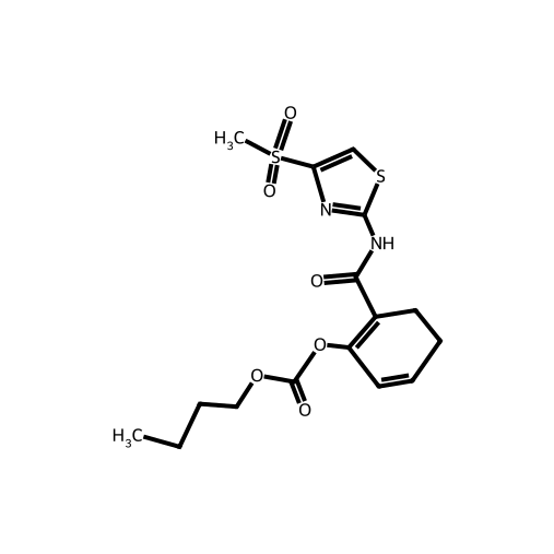 CCCCOC(=O)OC1=C(C(=O)Nc2nc(S(C)(=O)=O)cs2)CCC=C1